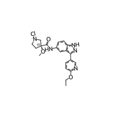 CCOc1ccc(-c2n[nH]c3ccc(NC(=O)[C@]4(OC)CCN(Cl)C4)cc23)cn1